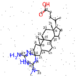 CC(CCC(=O)O)[C@H]1CCC2C3CCC4CC5(CCC46CC36CC[C@@]21C)N=C(N)NC(N(C)C)=N5